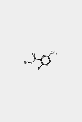 Cc1ccc(F)c(C(=O)OBr)c1